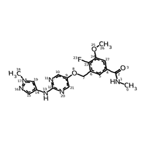 CNC(=O)c1cc(COc2cnc(Nc3cnn(C)c3)nc2)c(F)c(OC)c1